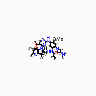 [2H]C1([2H])N(c2nc(Nc3cc(NC(=O)C=C)c(N4CC(N(C)C)C4)cc3OC)ncc2C(=O)OC(C)C)c2ccc(C)nc2C1(C)C